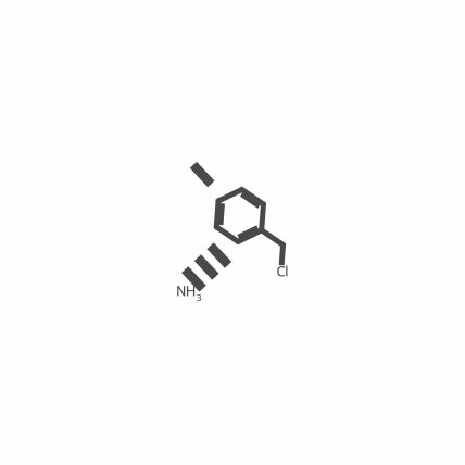 C=C.C=C.C=C.C=C.ClCc1ccccc1.N